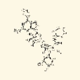 CCOc1nc(N)nc2c1ncn2[C@@H]1O[C@H](COP(=O)(NC(C)C(=O)OC2CCCCC2)Oc2ccc(F)c(Cl)c2)[C@@H](F)[C@@]1(C)O